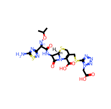 CC(C)O/N=C(\C(=O)NC1C(=O)N2C(C(=O)O)=C(CSc3nnnn3CC(=O)O)CS[C@H]12)c1nsc(N)n1